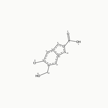 O=C(O)c1cc2cc(Cl)c(CO)cc2s1